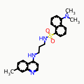 Cc1ccc2c(NCCCNS(=O)(=O)c3cccc4c(N(C)C)cccc34)ccnc2c1